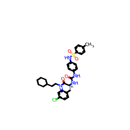 Cc1ccc(S(=O)(=O)Nc2ccc(NC(=O)N[C@H](Cc3ccc(Cl)cc3)C(=O)NCCC3CCCCC3)cc2)cc1